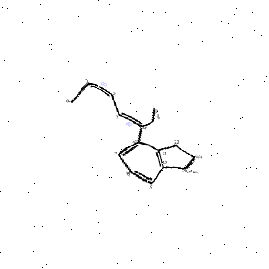 C/C=C\C=C(/C)c1cccc2c1CCC2